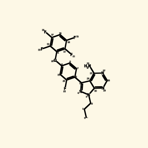 [CH2]CCn1nc(-c2ccc(Oc3c(F)c(F)cc(F)c3F)cc2F)c2c(N)ncnc21